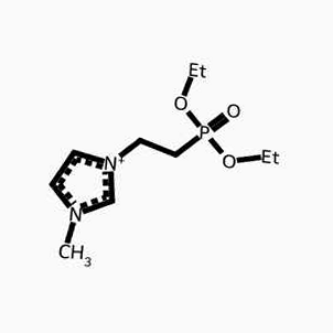 CCOP(=O)(CC[n+]1ccn(C)c1)OCC